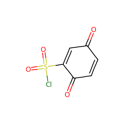 O=C1C=CC(=O)C(S(=O)(=O)Cl)=C1